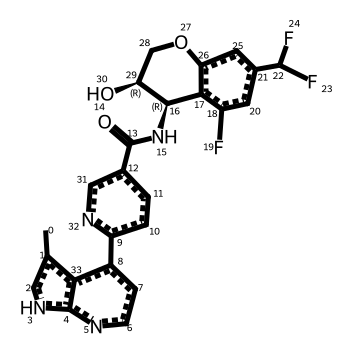 Cc1c[nH]c2nccc(-c3ccc(C(=O)N[C@@H]4c5c(F)cc(C(F)F)cc5OC[C@@H]4O)cn3)c12